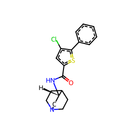 O=C(N[C@H]1CN2CCC1CC2)c1cc(Cl)c(-c2ccccc2)s1